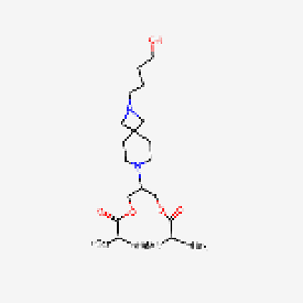 CCCCCCCCC(CCCCCC)C(=O)OCC(COC(=O)C(CCCCCC)CCCCCCCC)N1CCC2(CC1)CN(CCCCO)C2